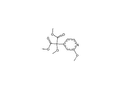 COC(=O)C(OC)(C(=O)OC)c1ccnc(OC)c1